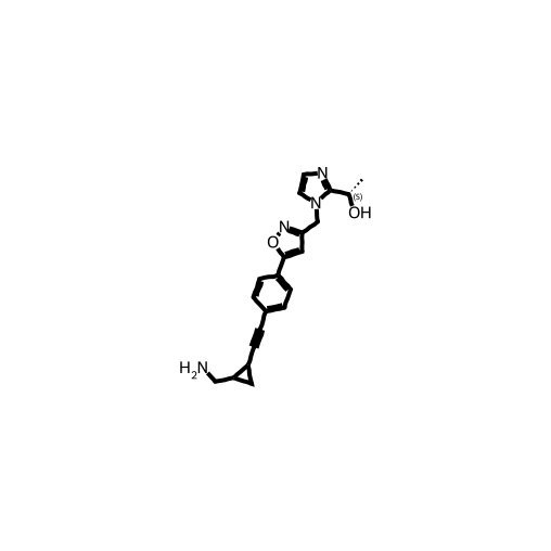 C[C@H](O)c1nccn1Cc1cc(-c2ccc(C#CC3CC3CN)cc2)on1